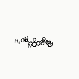 Cn1cc(-c2cnc3ccc4ccc(CS(=O)(=O)NCc5cccnn5)cc4c(=O)c3c2)cn1